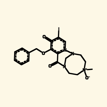 C[N+]1([O-])CCN2CN(CC1)n1cc(I)c(=O)c(OCc3ccccc3)c1C2=O